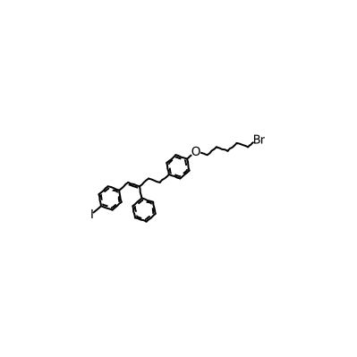 BrCCCCCOc1ccc(CCC(=Cc2ccc(I)cc2)c2ccccc2)cc1